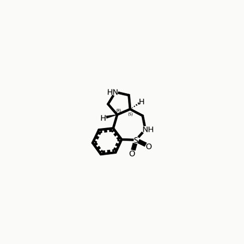 O=S1(=O)NC[C@@H]2CNC[C@H]2c2ccccc21